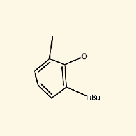 CCCCc1cccc(C)c1[O]